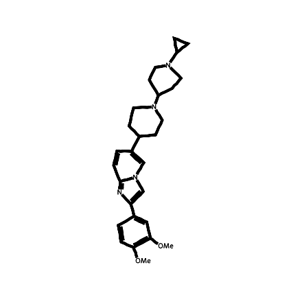 COc1ccc(-c2cn3cc(C4CCN(C5CCN(C6CC6)CC5)CC4)ccc3n2)cc1OC